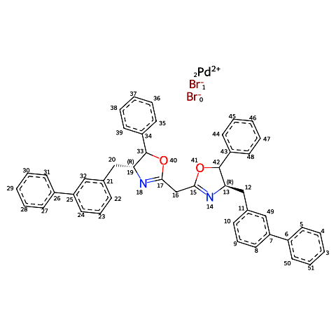 [Br-].[Br-].[Pd+2].c1ccc(-c2cccc(C[C@H]3N=C(CC4=N[C@H](Cc5cccc(-c6ccccc6)c5)C(c5ccccc5)O4)OC3c3ccccc3)c2)cc1